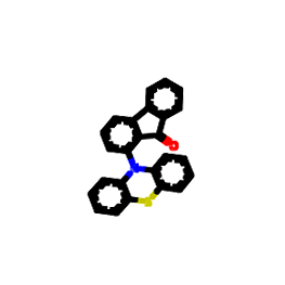 O=C1c2ccccc2-c2cccc(N3c4ccccc4Sc4ccccc43)c21